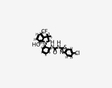 CC1(C)CN(c2ccccc2NC(=O)Nc2nc3ccc(Cl)cc3s2)c2c(O)ccc(C(F)(F)F)c21